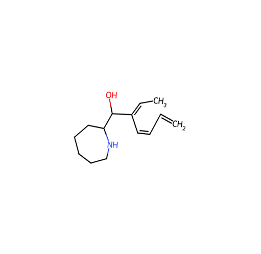 C=C/C=C\C(=C/C)C(O)C1CCCCCN1